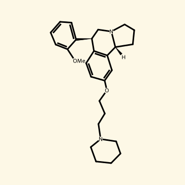 COc1ccccc1[C@H]1CN2CCC[C@@H]2c2cc(OCCCN3CCCCC3)ccc21